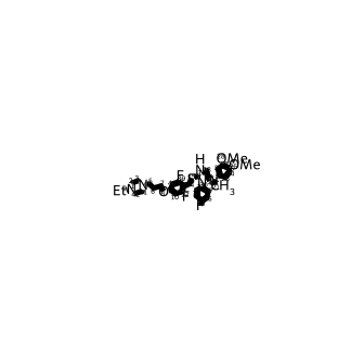 CCN1CCN(CCCOc2cc(F)c(CSC3NC=C(N(C)c4ccc(OC)c(OC)c4)N3c3ccc(F)cc3)c(F)c2)CC1